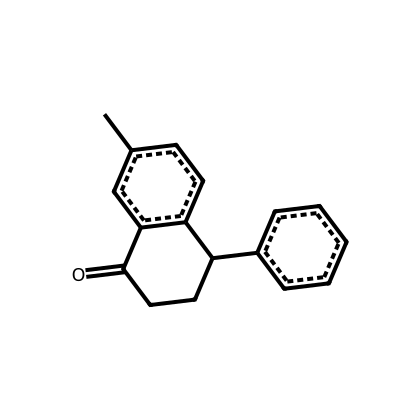 Cc1ccc2c(c1)C(=O)CCC2c1ccccc1